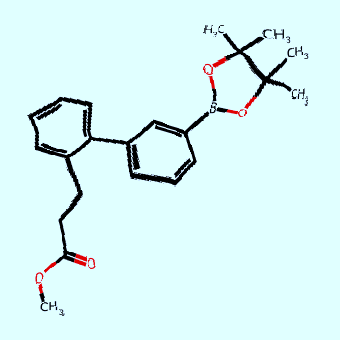 COC(=O)CCc1ccccc1-c1cccc(B2OC(C)(C)C(C)(C)O2)c1